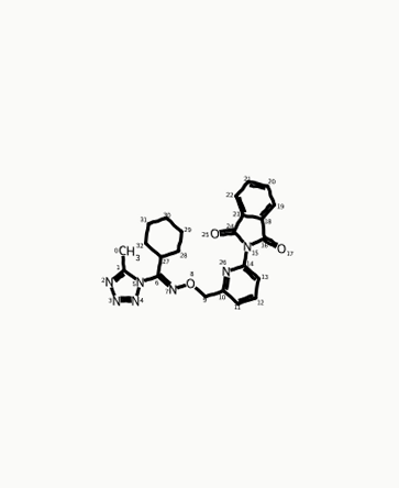 Cc1nnnn1/C(=N/OCc1cccc(N2C(=O)c3ccccc3C2=O)n1)C1CCCCC1